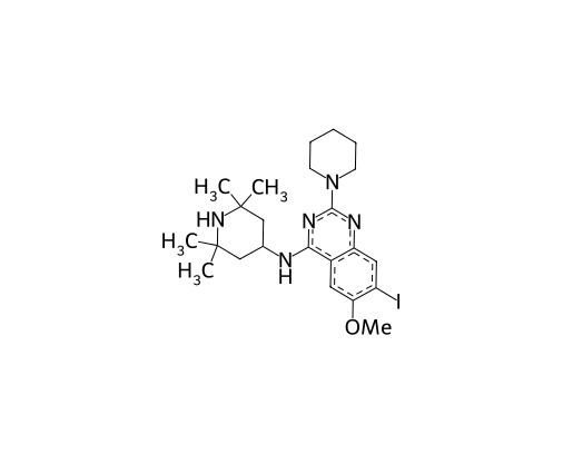 COc1cc2c(NC3CC(C)(C)NC(C)(C)C3)nc(N3CCCCC3)nc2cc1I